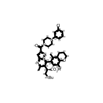 Cc1nc2cc(C(=O)N3CCN(c4cccc(Cl)c4)CC3)nn2c(-c2cc(F)c3c(c2C)CCCO3)c1[C@H](CC(C)(C)C)C(=O)O